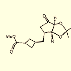 COC(=O)C1CC(C[C@H]2CC(=O)[C@@H]3OC(C)(C)O[C@H]23)C1